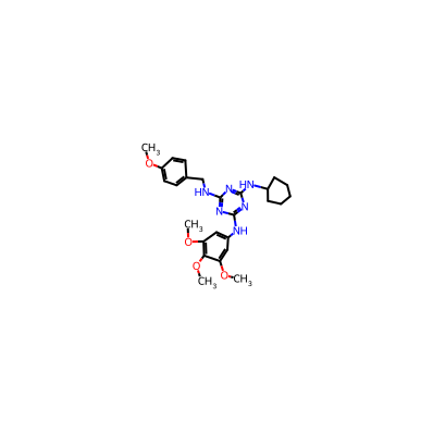 COc1ccc(CNc2nc(Nc3cc(OC)c(OC)c(OC)c3)nc(NC3CCCCC3)n2)cc1